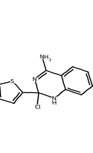 NC1=NC(Cl)(c2cccs2)Nc2ccccc21